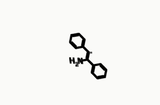 NC(=[C]c1ccccc1)c1ccccc1